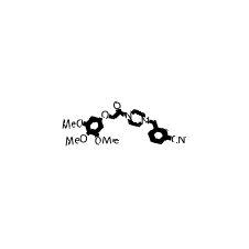 COc1cc(OCC(=O)N2CCN(Cc3cccc(C#N)c3)CC2)cc(OC)c1OC